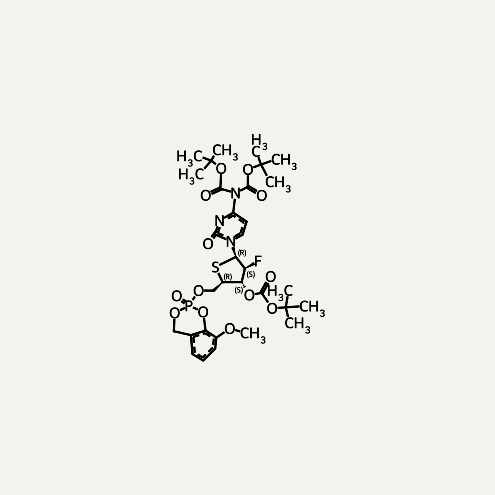 COc1cccc2c1OP(=O)(OC[C@H]1S[C@@H](n3ccc(N(C(=O)OC(C)(C)C)C(=O)OC(C)(C)C)nc3=O)[C@@H](F)[C@@H]1OC(=O)OC(C)(C)C)OC2